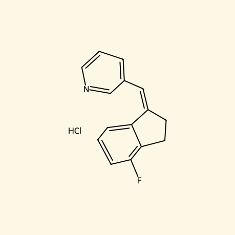 Cl.Fc1cccc2c1CC/C2=C/c1cccnc1